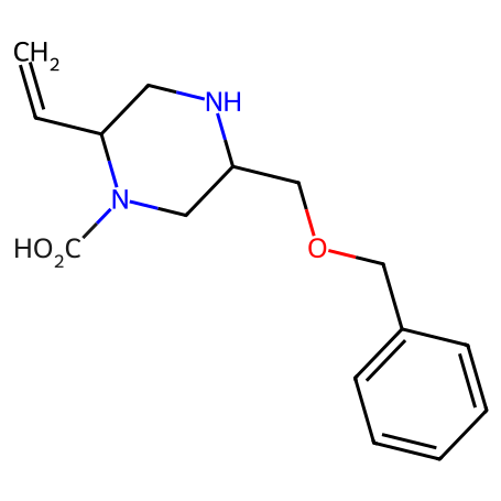 C=CC1CNC(COCc2ccccc2)CN1C(=O)O